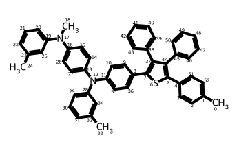 Cc1ccc(-c2sc(-c3ccc(N(c4ccc(N(C)c5cccc(C)c5)cc4)c4cccc(C)c4)cc3)c(-c3ccccc3)c2-c2ccccc2)cc1